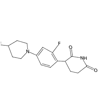 O=CC1CCN(c2ccc(C3CCC(=O)NC3=O)c(F)c2)CC1